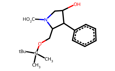 CC(C)(C)[Si](C)(C)OCC1C(c2ccccc2)C(O)CN1C(=O)O